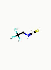 FC(F)(F)CN=C=S